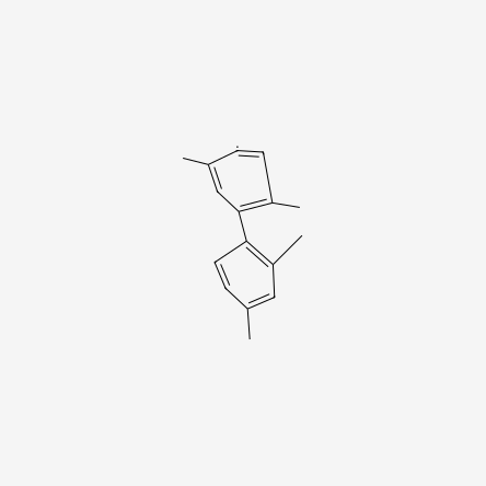 Cc1[c]cc(C)c(-c2ccc(C)cc2C)c1